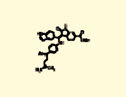 COC(=O)c1ccc2c(c1)NC(=O)C2=C(Nc1ccc(N(CCN(C)C)C(C)=O)cc1)c1ccc2[nH]ccc2c1